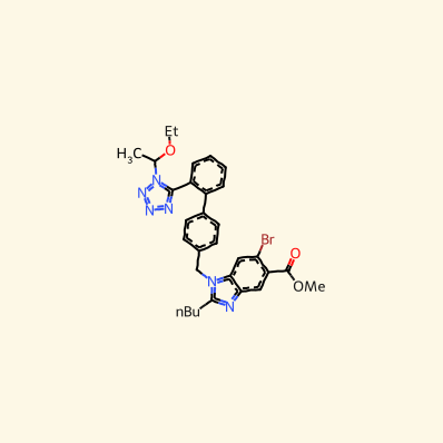 CCCCc1nc2cc(C(=O)OC)c(Br)cc2n1Cc1ccc(-c2ccccc2-c2nnnn2C(C)OCC)cc1